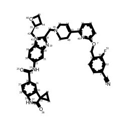 N#Cc1ccc(COc2cccc(C3=CCN(Cc4nc5cc(NC(=O)c6ccc7c(c6)C6(CC6)C(=O)N7)ccc5n4C[C@@H]4CCO4)CC3)n2)c(F)c1